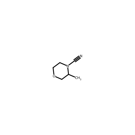 CC1COCCN1C#N